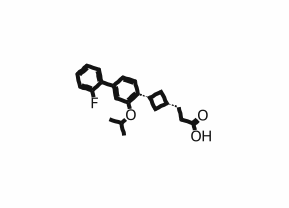 CC(C)Oc1cc(-c2ccccc2F)ccc1[C@H]1C[C@@H](CCC(=O)O)C1